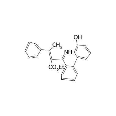 CCOC(=O)/C(C(=N)c1ccccc1-c1cccc(O)c1)=C(/C)c1ccccc1